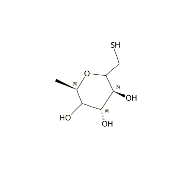 C[C@H]1OC(CS)[C@@H](O)[C@H](O)C1O